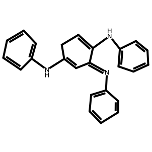 C1=C(Nc2ccccc2)CC=C(Nc2ccccc2)C1=Nc1ccccc1